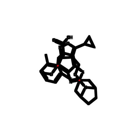 COc1cc(C(=O)O)cc2sc(N3C4CCC3CC(OCc3c(-c5c(C)cccc5F)noc3C3CC3)C4)nc12